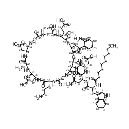 CCCCCCCCCC(=O)NC(Cc1c[nH]c2ccccc12)C(=O)N[C@@H](CC(N)=O)C(=O)N[C@@H](CC(=O)O)C(=O)NC1C(=O)NCC(=O)N[C@@H](CCCN)C(=O)N[C@@H](CC(=O)O)C(=O)N[C@H](C)C(=O)N[C@@H](CC(=O)O)C(=O)NCC(=O)N[C@H](CO)C(=O)NC([C@@H](C)CC(=O)O)C(=O)NC(CC(=O)c2ccccc2N)C(=O)OC1C